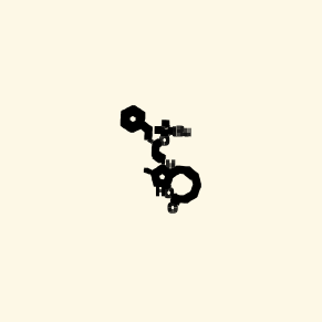 C[C@@H]1C[C@@H]2OC(=O)CCC/C=C\C[C@@H]2[C@H]1/C=C/[C@H](CCc1ccccc1)O[Si](C)(C)C(C)(C)C